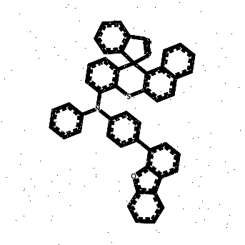 c1ccc(N(c2ccc(-c3cccc4c3oc3ccccc34)cc2)c2cccc3c2Sc2ccc4ccccc4c2C32c3ccccc3-c3ccccc32)cc1